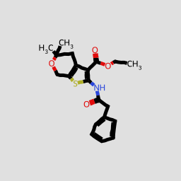 CCOC(=O)c1c(NC(=O)Cc2ccccc2)sc2c1CC(C)(C)OC2